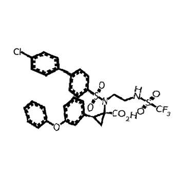 O=C(O)[C@@]1(N(CCNS(=O)(=O)C(F)(F)F)S(=O)(=O)c2ccc(-c3ccc(Cl)cc3)cc2)C[C@H]1c1cccc(Oc2ccccc2)c1